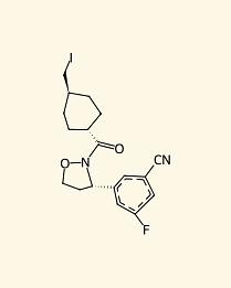 N#Cc1cc(F)cc([C@@H]2CCON2C(=O)[C@H]2CC[C@H](CI)CC2)c1